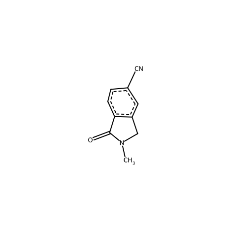 CN1Cc2cc(C#N)ccc2C1=O